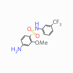 COc1cc(N)ccc1S(=O)(=O)Nc1cccc(C(F)(F)F)c1